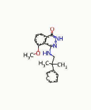 COc1cccc2c(=O)[nH]nc(NCC(C)(C)c3ccccc3)c12